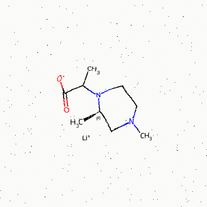 CC(C(=O)[O-])N1CCN(C)C[C@H]1C.[Li+]